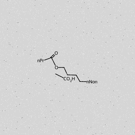 CC(=O)O.CCCCCCCCCCCCCOC(=O)CCC